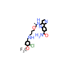 C[C@H](COCCCCNCc1ccc(OC(F)(F)F)c(Cl)c1)Nc1nc2cc(C(N)=O)ccc2c2cnccc12